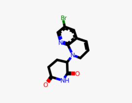 O=C1CCC(N2CC=Cc3cc(Br)cnc32)C(=O)N1